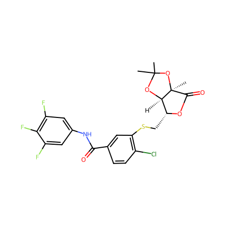 CC1(C)O[C@@H]2[C@@H](CSc3cc(C(=O)Nc4cc(F)c(F)c(F)c4)ccc3Cl)OC(=O)[C@]2(C)O1